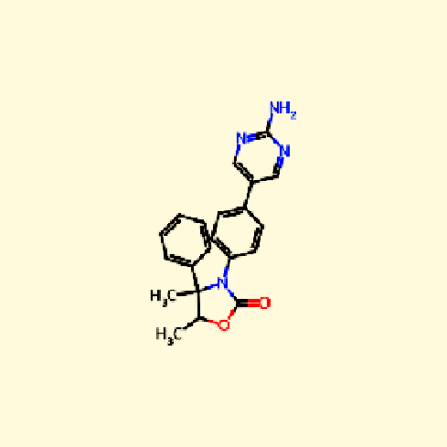 CC1OC(=O)N(c2ccc(-c3cnc(N)nc3)cc2)C1(C)c1ccccc1